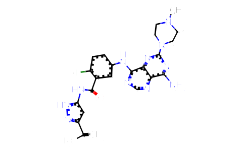 C=C(C)c1cc(NC(=O)c2cc(Nc3ncnc4c(N)nc(N5CCN(C)CC5)nc34)ccc2F)[nH]n1